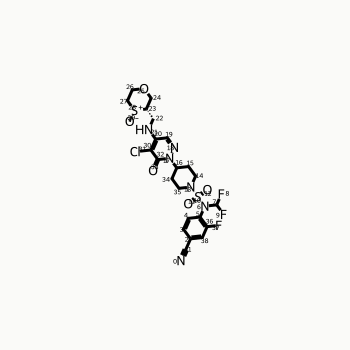 N#Cc1ccc(N(C(F)F)S(=O)(=O)N2CCC(n3ncc(NC[C@H]4COCC[S@+]4[O-])c(Cl)c3=O)CC2)c(F)c1